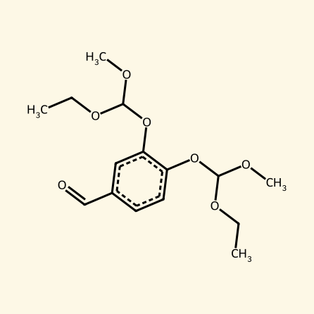 CCOC(OC)Oc1ccc(C=O)cc1OC(OC)OCC